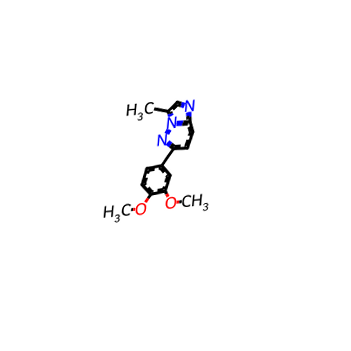 COc1ccc(-c2ccc3ncc(C)n3n2)cc1OC